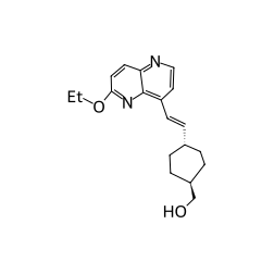 CCOc1ccc2nccc(C=C[C@H]3CC[C@H](CO)CC3)c2n1